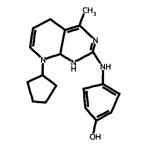 CC1=C2CC=CN(C3CCCC3)C2NC(Nc2ccc(O)cc2)=N1